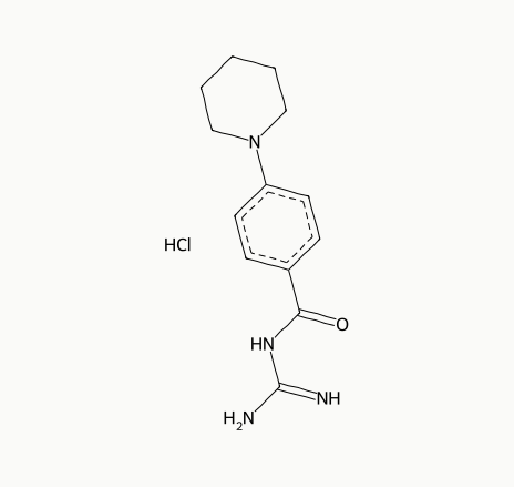 Cl.N=C(N)NC(=O)c1ccc(N2CCCCC2)cc1